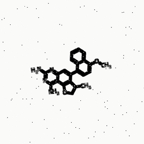 COc1ccc(-c2cc3nc(N)nc(N)c3c3c2C(C)CO3)c2ccccc12